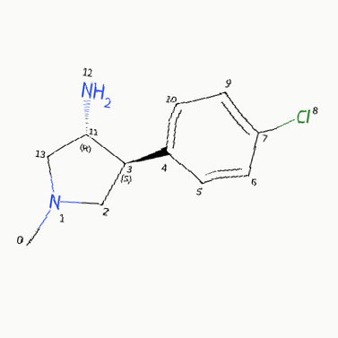 CN1C[C@H](c2ccc(Cl)cc2)[C@@H](N)C1